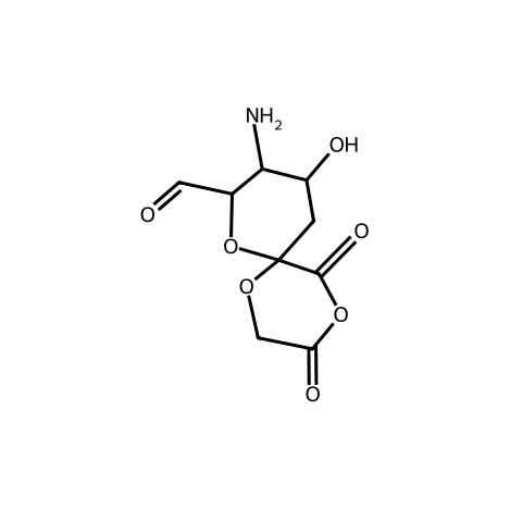 NC1C(O)CC2(OCC(=O)OC2=O)OC1C=O